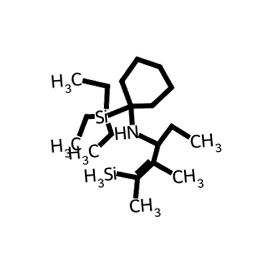 CCC(NC1([Si](CC)(CC)CC)CCCCC1)C(C)=C(C)[SiH3]